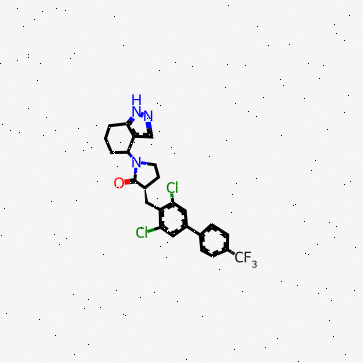 O=C1[C@H](Cc2c(Cl)cc(-c3ccc(C(F)(F)F)cc3)cc2Cl)CCN1C1CCCc2[nH]ncc21